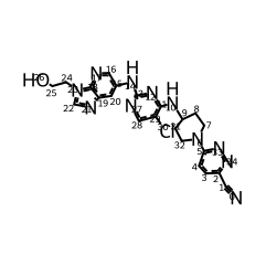 N#Cc1ccc(N2CCC(Nc3nc(Nc4cnc5c(c4)ncn5CCO)ncc3Cl)CC2)nn1